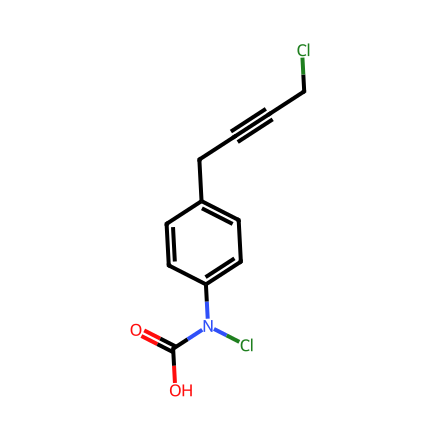 O=C(O)N(Cl)c1ccc(CC#CCCl)cc1